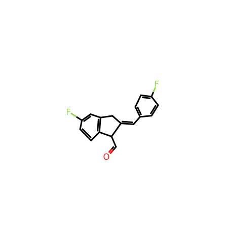 O=CC1/C(=C/c2ccc(F)cc2)Cc2cc(F)ccc21